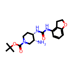 CC(C)(C)OC(=O)N1CC[C@H](NC(=O)Nc2cccc3c2CCO3)[C@H](N)C1